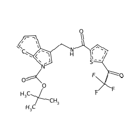 CC(C)(C)OC(=O)n1cc(CNC(=O)c2ccc(C(=O)C(F)(F)F)s2)c2ccccc21